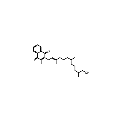 CC1=C(C/C=C(\C)CCCC(C)CCCC(C)CO)C(=O)c2ccccc2C1=O